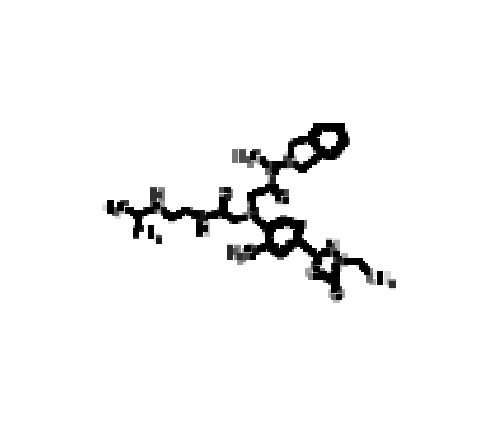 CCn1nc(-c2ccc(N(CC(=O)NCCNC(C)C)CC(=O)N(C)N3Cc4ccccc4C3)c(C)c2)oc1=O